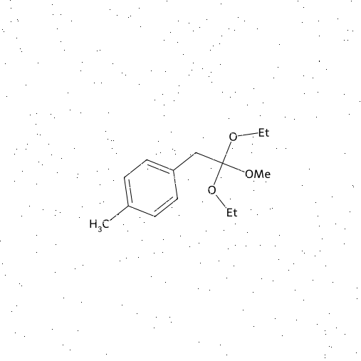 CCOC(Cc1ccc(C)cc1)(OC)OCC